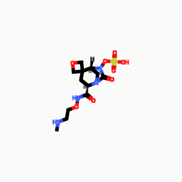 CNCCONC(=O)[C@@H]1CC2(COC2)[C@H]2CN1C(=O)N2OS(=O)(=O)O